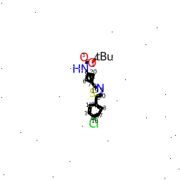 CC(C)(C)OC(=O)NC12CC(c3ncc(-c4ccc(Cl)cc4)s3)(C1)C2